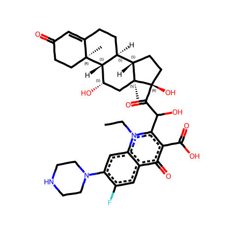 CCn1c(C(O)C(=O)[C@@]2(O)CC[C@H]3[C@@H]4CCC5=CC(=O)CC[C@]5(C)[C@H]4[C@@H](O)C[C@@]32C)c(C(=O)O)c(=O)c2cc(F)c(N3CCNCC3)cc21